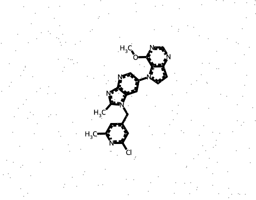 COc1ncnc2ccn(-c3cnc4nc(C)n(Cc5cc(C)nc(Cl)c5)c4c3)c12